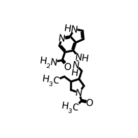 CCC1CN(C(C)=O)CC1CNNc1c(C(N)=O)cnc2[nH]ccc12